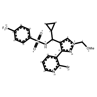 COCn1cc(C(NS(=O)(=O)c2ccc(C(F)(F)F)cc2)C2CC2)c(-c2cccnc2Br)n1